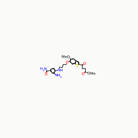 COC(=O)CCC(=O)c1cc2cc(OC)c(OCCCCNc3ccc(C(N)=O)cc3N)cc2s1